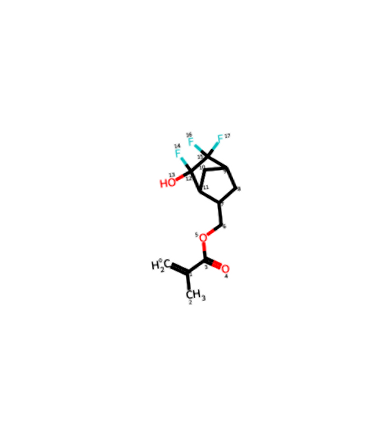 C=C(C)C(=O)OCC1CC2CC1C(O)(F)C2(F)F